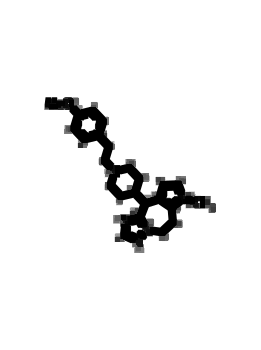 COc1ccc(CCN2CCC(C3c4ccn(C)c4CCn4ncnc43)CC2)cc1